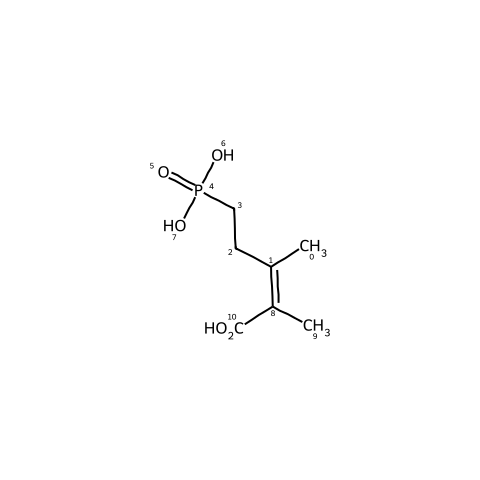 CC(CCP(=O)(O)O)=C(C)C(=O)O